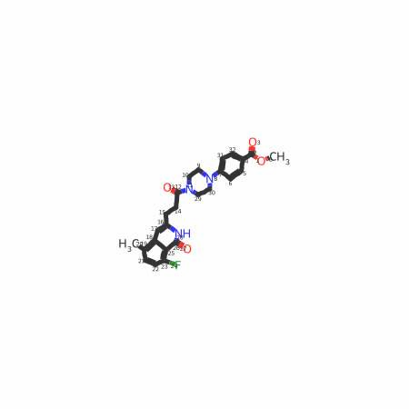 COC(=O)c1ccc(N2CCN(C(=O)CCc3cc4c(C)ccc(F)c4c(=O)[nH]3)CC2)cc1